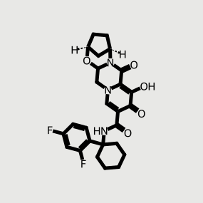 O=C(NC1(c2ccc(F)cc2F)CCCCC1)c1cn2c(c(O)c1=O)C(=O)N1C(C2)O[C@H]2CC[C@@H]1C2